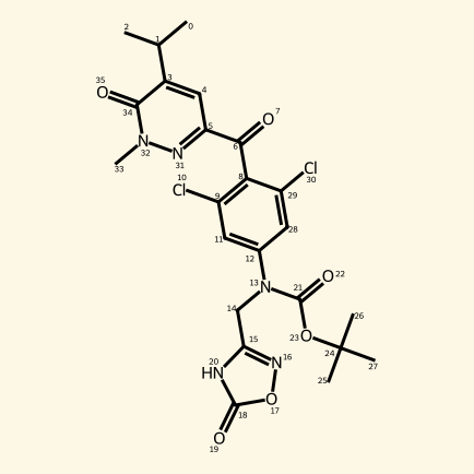 CC(C)c1cc(C(=O)c2c(Cl)cc(N(Cc3noc(=O)[nH]3)C(=O)OC(C)(C)C)cc2Cl)nn(C)c1=O